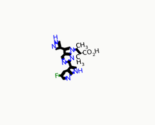 C[C@H]([C@@H](C)C(=O)O)n1cc(-c2cn[nH]c2)c2cnc(-c3c[nH]c4ncc(F)cc34)nc21